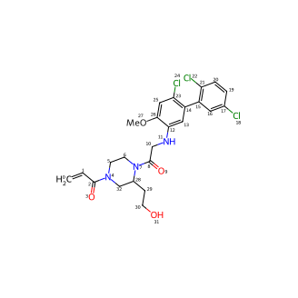 C=CC(=O)N1CCN(C(=O)CNc2cc(-c3cc(Cl)ccc3Cl)c(Cl)cc2OC)C(CCO)C1